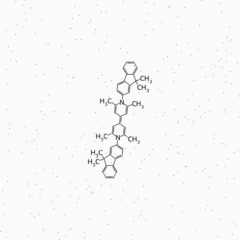 CC1=CC(=C2C=C(C)N(c3ccc4c(c3)C(C)(C)c3ccccc3-4)C(C)=C2)C=C(C)N1c1ccc2c(c1)C(C)(C)c1ccccc1-2